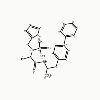 CC(C)C(C(=O)NC(Cc1ccc(-c2cccnc2)cc1)C(=O)O)N(Cc1cccs1)P(=O)(O)O